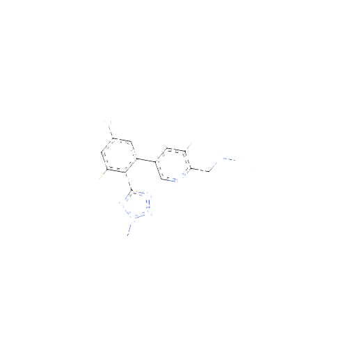 C[C@@H](NC(=O)O)c1ncc(-c2cc(Cl)cc(F)c2-c2nnn(C)n2)cc1F